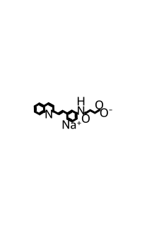 O=C([O-])CCC(=O)Nc1cccc(/C=C/c2ccc3ccccc3n2)c1.[Na+]